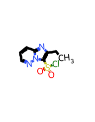 CCc1nc2cccnn2c1S(=O)(=O)Cl